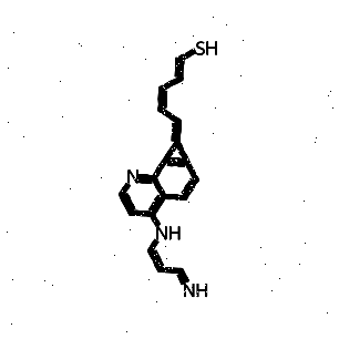 N=C/C=C\Nc1ccnc2c3c(ccc12)/C3=C/C=C\C=C\S